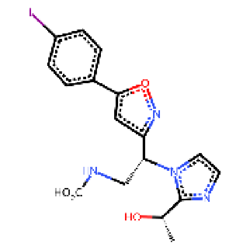 C[C@H](O)c1nccn1[C@H](CNC(=O)O)c1cc(-c2ccc(I)cc2)on1